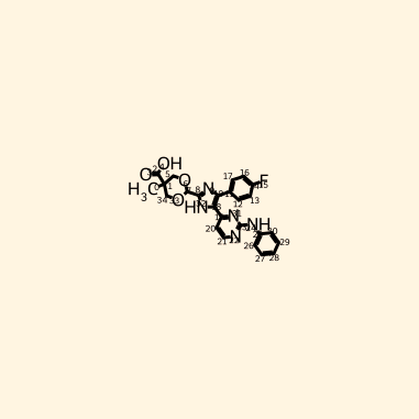 CC1(C(=O)O)COC(c2nc(-c3ccc(F)cc3)c(-c3ccnc(Nc4ccccc4)n3)[nH]2)OC1